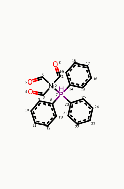 O=[CH][Ni]([CH]=O)([CH]=O)[PH](c1ccccc1)(c1ccccc1)c1ccccc1